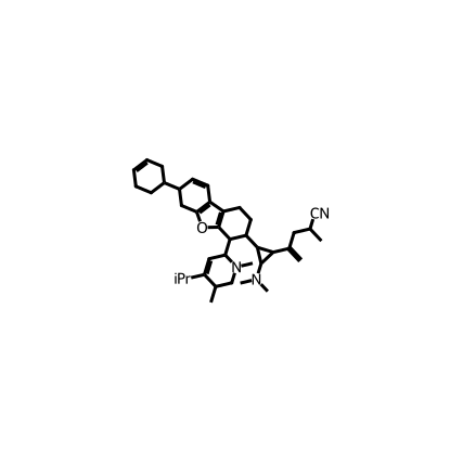 C=C(CC(C)C#N)C1C(C2CCc3c(oc4c3C=CC(C3CC=CCC3)C4)C2C2C=C(C(C)C)C(C)CN2C)C1N(C)C